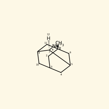 C[C@]12CC3CC(C1)[C@H](N)C(C3)C2